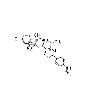 CNc1ccc(C(=O)N[C@@H](C(=O)N2CC[C@](O)(c3ccc(Cl)cc3)C(C)(C)C2)C(C)C)cn1